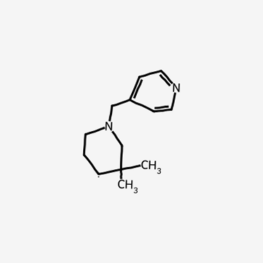 CC1(C)[CH]CCN(Cc2ccncc2)C1